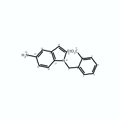 CCOC(=O)c1ccccc1Cn1ccc2cc(N)ccc21